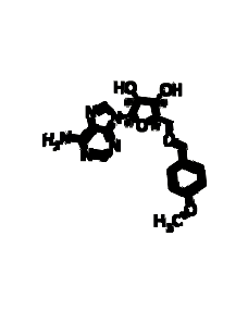 COc1ccc(COC[C@H]2O[C@@H](n3cnc4c(N)ncnc43)[C@H](O)[C@@H]2O)cc1